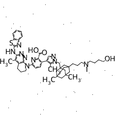 Cc1c(Nc2nc3ccccc3s2)nnc2c1CCCN2c1ccc(-c2cnn(CC34CC5(C)CC(C)(CC(CCCN(I)CCCCO)(C5)C3)C4)c2C)c(C(=O)O)n1